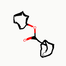 O=C(Oc1ccccc1)C1CC2CCC1CC2